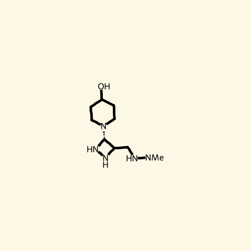 CNNCC1NN[C@@H]1N1CCC(O)CC1